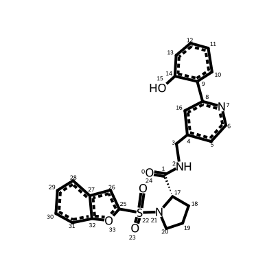 O=C(NCc1ccnc(-c2ccccc2O)c1)[C@@H]1CCCN1S(=O)(=O)c1cc2ccccc2o1